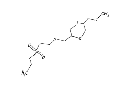 CCCS(=O)(=O)CCSCC1CSC(CSC)CS1